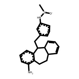 C[S+]([O-])Nc1cccc(CC2c3cccc(N)c3CCC3C=CC=CC32)c1